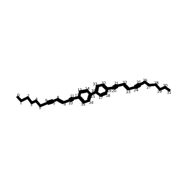 CCCCCCC#CC=CC#Cc1ccc(-c2ccc(C#CC=CC#CCCCCCC)cc2)cc1